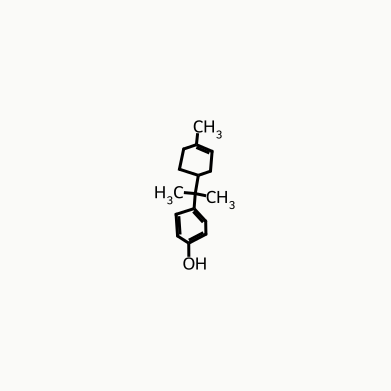 CC1=CCC(C(C)(C)c2ccc(O)cc2)CC1